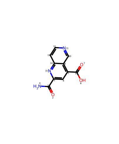 NC(=O)c1cc(C(=O)O)c2cnccc2n1